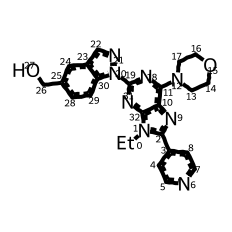 CCn1c(-c2ccncc2)nc2c(N3CCOCC3)nc(-n3ncc4cc(CO)ccc43)nc21